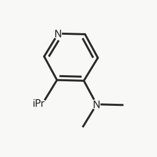 CC(C)c1cnccc1N(C)C